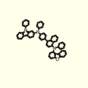 c1ccc(N(c2ccc(-c3ccc(N(c4ccccc4)c4cccc5oc6ccccc6c45)c4ccccc34)cc2)c2ccc3c4ccccc4n(-c4ccccc4)c3c2)cc1